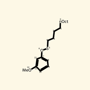 CCCCCCCCCCCCSOc1cc[c]c(OC)c1